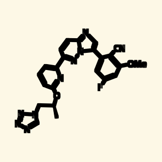 COc1cc(F)cc(-c2cnc3ccc(-c4cccc(O[C@@H](C)Cn5cnnn5)n4)nn23)c1C#N